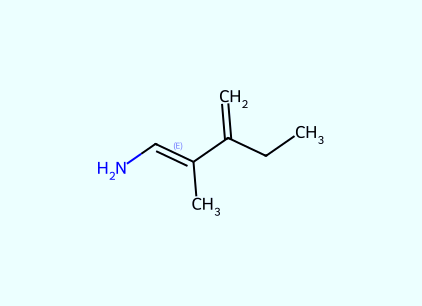 C=C(CC)/C(C)=C/N